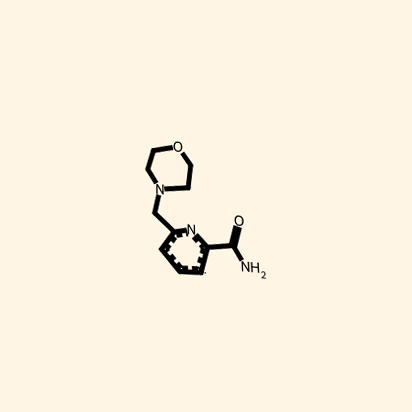 NC(=O)c1[c]ccc(CN2CCOCC2)n1